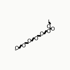 COCCOCCOCCOCCOCCOC(=O)OCI